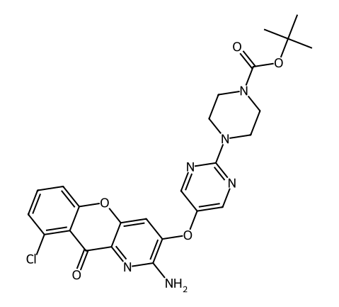 CC(C)(C)OC(=O)N1CCN(c2ncc(Oc3cc4oc5cccc(Cl)c5c(=O)c4nc3N)cn2)CC1